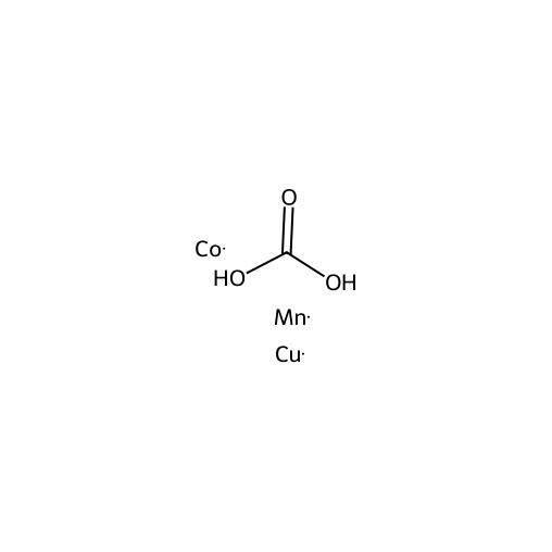 O=C(O)O.[Co].[Cu].[Mn]